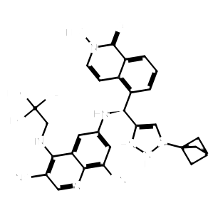 Cn1ccc2c([C@H](Nc3cc(C#N)c4ncc(C#N)c(NCC(C)(C)C(F)(F)F)c4c3)C3=CN(C45CC(C4)C5)NN3)cccc2c1=O